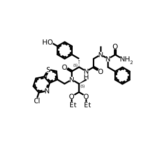 CCOC(OCC)[C@H](C)N(Cc1csc2ccc(Cl)nc12)C(=O)[C@H](Cc1ccc(O)cc1)NC(=O)CN(C)N(Cc1ccccc1)C(N)=O